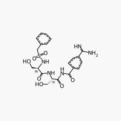 N=C(N)c1ccc(C(=O)NC(=O)[C@H](CO)NC(=O)[C@@H](CO)NS(=O)(=O)Cc2ccccc2)cc1